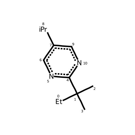 CCC(C)(C)c1ncc(C(C)C)cn1